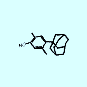 Cc1cc(C23CC4CC(CC(C4)C2)C3)c(C)cc1O